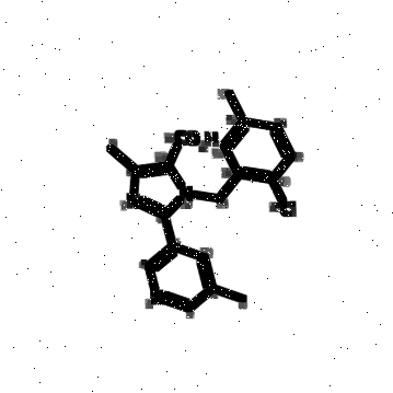 Cc1cncc(-c2nc(C)c(C(=O)O)n2Cc2cc(C)ccc2Cl)c1